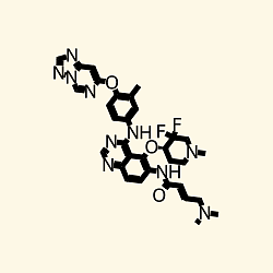 Cc1cc(Nc2ncnc3ccc(NC(=O)/C=C/CN(C)C)c(O[C@@H]4CCN(C)CC4(F)F)c23)ccc1Oc1cc2ncnn2cn1